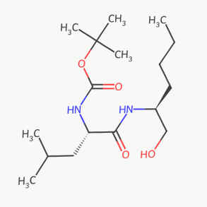 CCCC[C@@H](CO)NC(=O)[C@H](CC(C)C)NC(=O)OC(C)(C)C